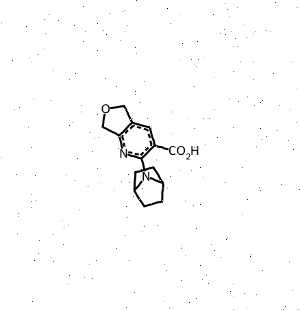 O=C(O)c1cc2c(nc1N1C3CCC1CC3)COC2